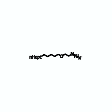 CCCCCCCCCCCCOCCN=[N+]=[N-]